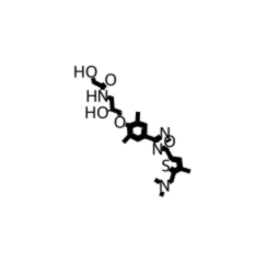 Cc1cc(-c2nc(-c3cc(C)c(OC[C@H](O)CNC(=O)CO)c(C)c3)no2)sc1CN(C)C